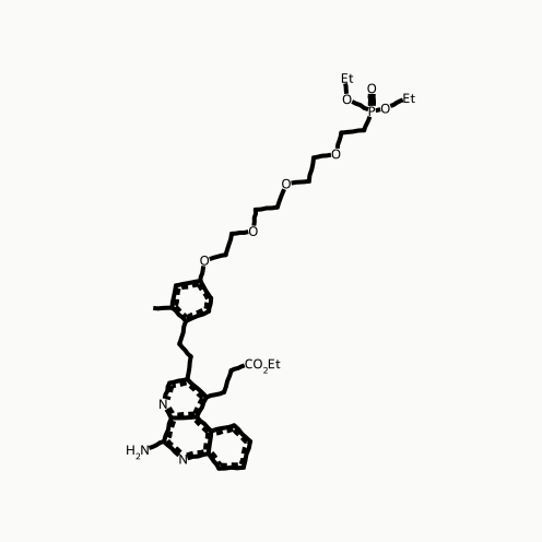 CCOC(=O)CCc1c(CCc2ccc(OCCOCCOCCOCCP(=O)(OCC)OCC)cc2C)cnc2c(N)nc3ccccc3c12